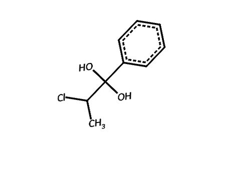 CC(Cl)C(O)(O)c1ccccc1